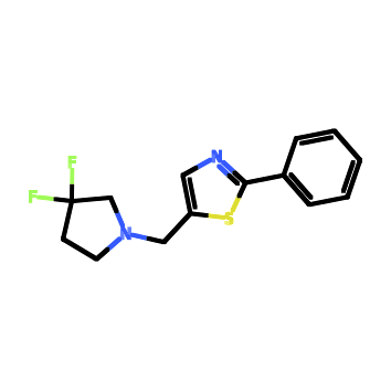 FC1(F)CCN(Cc2cnc(-c3ccccc3)s2)C1